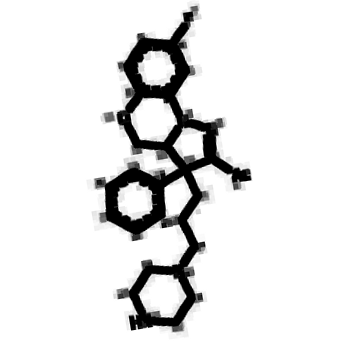 CC(=O)C1=NN2c3cc(F)ccc3OCC2C1(CCCN1CCNCC1)c1ccccc1